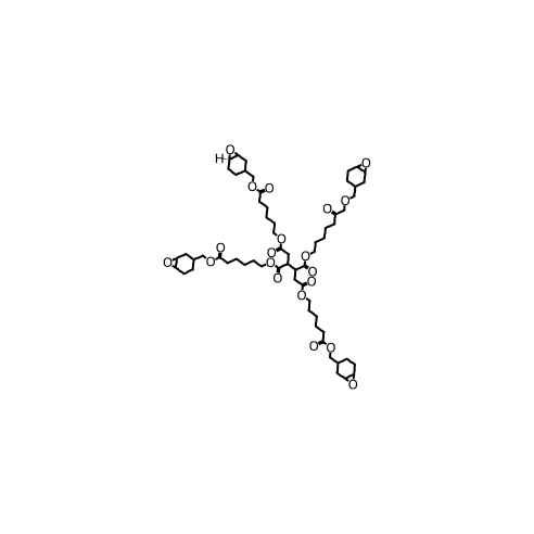 O=C(CCCCCOC(=O)C(CC(=O)OCCCCCC(=O)OCC1CCC2OC2C1)C(CC(=O)OCCCCCC(=O)OCC1CC[C@H]2OC2C1)C(=O)OCCCCCC(=O)OCC1CCC2OC2C1)COCC1CCC2OC2C1